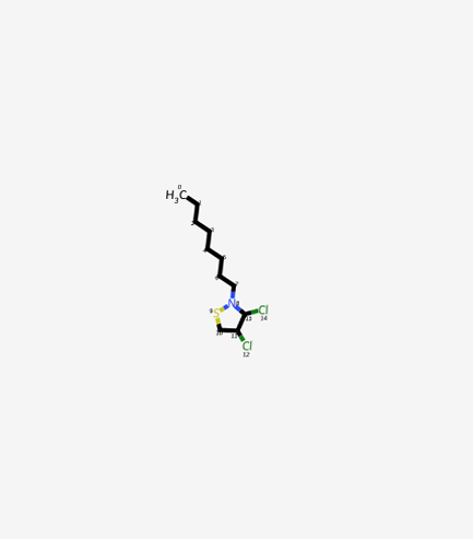 CCCCCCCCN1SCC(Cl)C1Cl